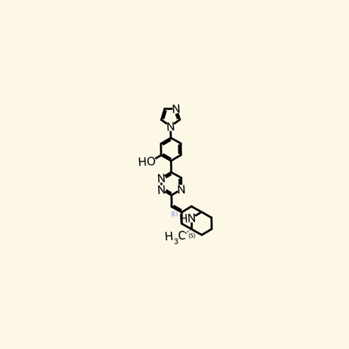 C[C@]12CCCC(C/C(=C\c3ncc(-c4ccc(-n5ccnc5)cc4O)nn3)C1)N2